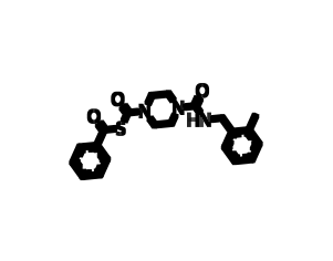 Cc1ccccc1CNC(=O)N1CCN(C(=O)SC(=O)c2ccccc2)CC1